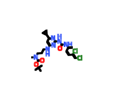 C=C(/C=C\C(Cl)=C\Cl)NC(=O)Nc1nc(NCCCN(C)C(=O)OC(C)(C)C)cc(C2CC2)n1